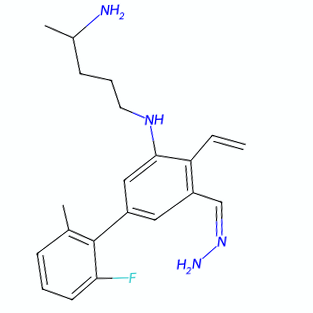 C=Cc1c(/C=N\N)cc(-c2c(C)cccc2F)cc1NCCCC(C)N